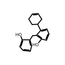 Oc1ccccc1Cc1c(O)cccc1C1CC=CCC1